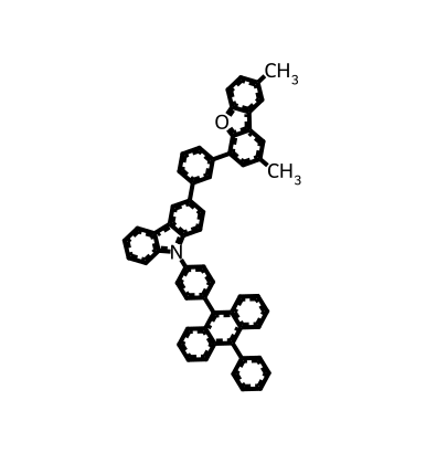 Cc1ccc2oc3c(-c4cccc(-c5ccc6c(c5)c5ccccc5n6-c5ccc(-c6c7ccccc7c(-c7ccccc7)c7ccccc67)cc5)c4)cc(C)cc3c2c1